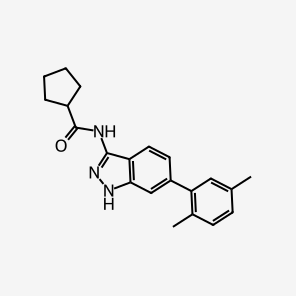 Cc1ccc(C)c(-c2ccc3c(NC(=O)C4CCCC4)n[nH]c3c2)c1